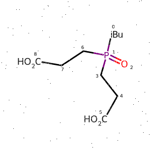 CCC(C)P(=O)(CCC(=O)O)CCC(=O)O